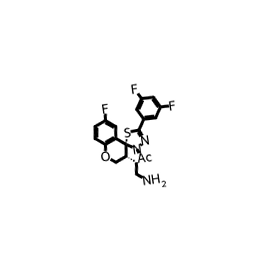 CC(=O)N1N=C(c2cc(F)cc(F)c2)S[C@]12c1cc(F)ccc1OC[C@H]2CCN